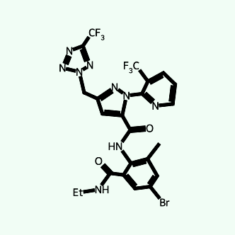 CCNC(=O)c1cc(Br)cc(C)c1NC(=O)c1cc(Cn2nnc(C(F)(F)F)n2)nn1-c1ncccc1C(F)(F)F